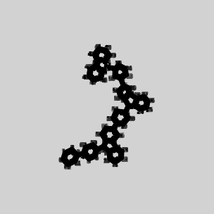 c1ccc(-c2ccc(C3c4ccccc4-c4cc(-c5ccc(C6c7ccccc7-c7cc(-c8cccc(-n9c%10ccccc%10c%10ccccc%109)c8)ccc76)cc5)ccc43)cc2)cc1